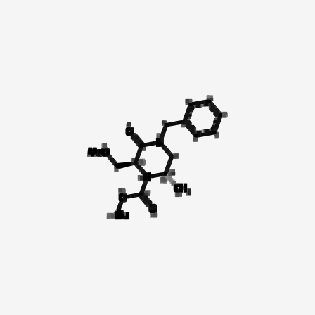 COC[C@H]1C(=O)N(Cc2ccccc2)C[C@H](C)N1C(=O)OC(C)(C)C